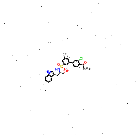 CNC(=O)c1ccc(-c2cc(C(F)(F)F)cc(S(=O)(=O)NC(CO)Cc3c[nH]c4ccccc34)c2)cc1Cl